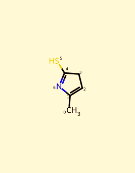 CC1=CCC(S)=N1